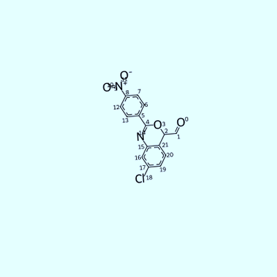 O=CC1OC(c2ccc([N+](=O)[O-])cc2)=Nc2cc(Cl)ccc21